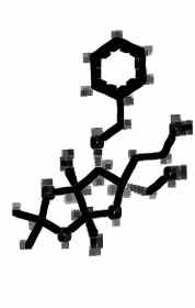 CC1(C)O[C@H]2O[C@](CO)(CCO)[C@@H](OCc3ccccc3)[C@H]2O1